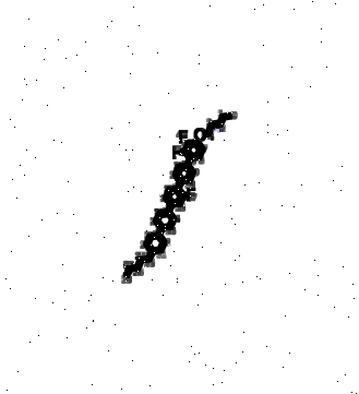 CC/C=C/COc1ccc(-c2ccc(-c3ccc(C4=CCC(C5CCC(CCCCC)CC5)CC4)cc3F)cc2)c(F)c1F